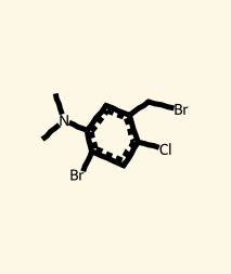 CN(C)c1cc(CBr)c(Cl)cc1Br